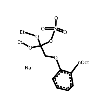 CCCCCCCCc1ccccc1OCC(OCC)(OCC)OS(=O)(=O)[O-].[Na+]